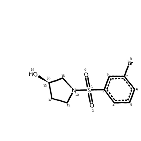 O=S(=O)(c1cccc(Br)c1)N1CC[C@@H](O)C1